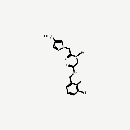 CCOC(=O)c1cnn(CC(=O)N(CC(=O)NCc2cccc(Cl)c2F)C(C)C)c1